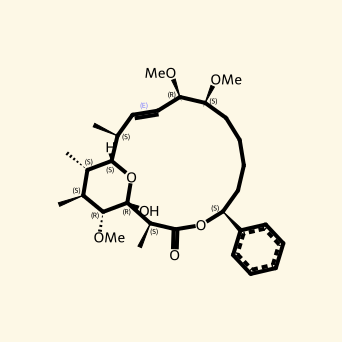 CO[C@H]1CCCC[C@@H](c2ccccc2)OC(=O)[C@@H](C)[C@@]2(O)O[C@H]([C@@H](C)[C@H](C)[C@H]2OC)[C@@H](C)/C=C/[C@H]1OC